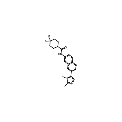 Cc1ncc(-c2cnc3cnc(NC(=O)C4CCC(F)(F)CC4)cc3c2)n1C